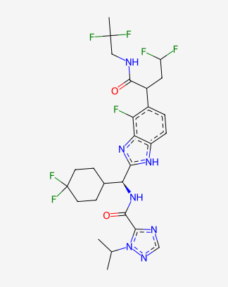 CC(C)n1ncnc1C(=O)N[C@H](c1nc2c(F)c(C(CC(F)F)C(=O)NCC(C)(F)F)ccc2[nH]1)C1CCC(F)(F)CC1